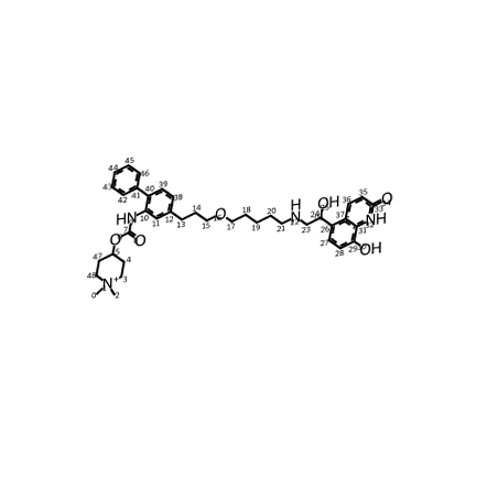 C[N+]1(C)CCC(OC(=O)Nc2cc(CCCOCCCCCNC[C@@H](O)c3ccc(O)c4[nH]c(=O)ccc34)ccc2-c2ccccc2)CC1